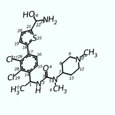 CC(NC(=O)N(C)C1CCN(C)CC1)c1ccc(-c2ccc(C(N)O)s2)c(Cl)c1Cl